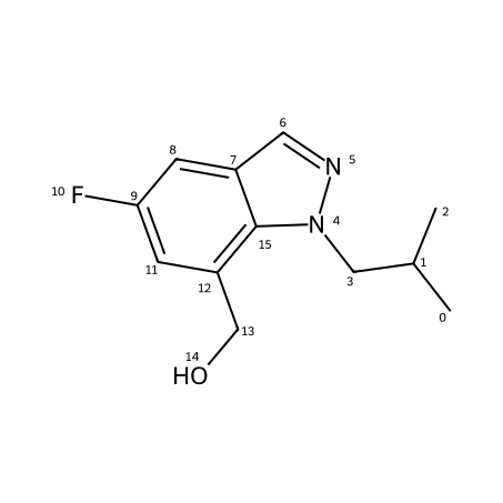 CC(C)Cn1ncc2cc(F)cc(CO)c21